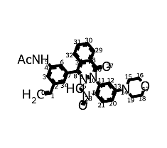 C=Cc1cc(NC(C)=O)cc(-c2nn(-c3cc(N4CCOCC4)ccc3[N+](=O)O)c(=O)c3ccccc23)c1